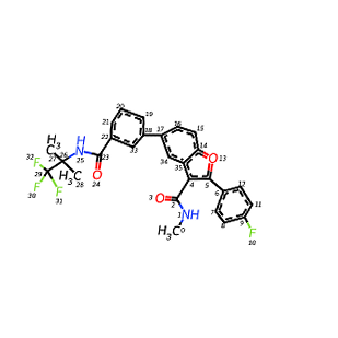 CNC(=O)c1c(-c2ccc(F)cc2)oc2ccc(-c3cccc(C(=O)NC(C)(C)C(F)(F)F)c3)cc12